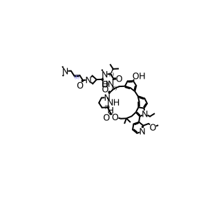 CCn1c(-c2cccnc2COC)c2c3cc(ccc31)-c1cc(O)cc(c1)C[C@H](NC(=O)[C@H](C(C)C)N(C)C(=O)C1CN(C(=O)/C=C/CN(C)C)C1)C(=O)N1CCC[C@H](N1)C(=O)OCC(C)(C)C2